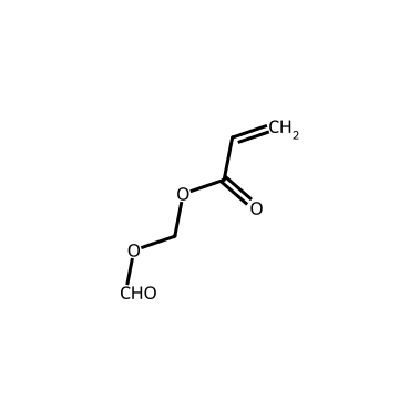 C=CC(=O)OCOC=O